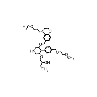 CCC(O)CO[C@@H]1CNC[C@H](OCc2ccc3c(c2)N(CCCOC)CCO3)[C@H]1c1ccc(COCCOC)cc1